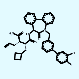 C=CC[C@H](C(N)=O)[C@@H](CC1CCC1)C(=O)NC1C(=O)N(Cc2cccc(-c3ccc(F)c(Cl)c3)c2)c2ccccc2-c2ccccc21